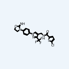 N=C1OCCN1c1ccc(-n2cc(CNC(=O)c3ccc(Cl)s3)c(C(F)(F)F)n2)cc1